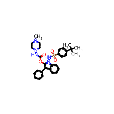 CN1CCN(NC(=O)Oc2c(-c3ccccc3)c3ccccc3n2NS(=O)(=O)c2ccc(C(C)(C)C)cc2)CC1